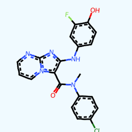 CN(C(=O)c1c(Nc2ccc(O)c(F)c2)nc2ncccn12)c1ccc(Cl)cc1